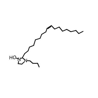 CCCCCCCC/C=C\CCCCCCCCC1N(O)CCN1CCCC